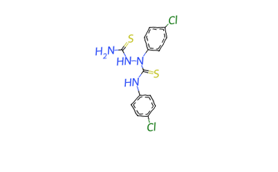 NC(=S)NN(C(=S)Nc1ccc(Cl)cc1)c1ccc(Cl)cc1